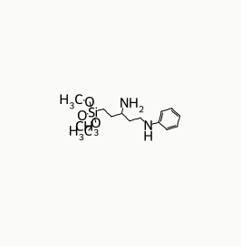 CO[Si](CCC(N)CCNc1ccccc1)(OC)OC